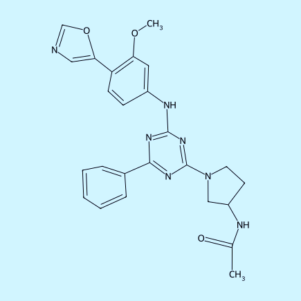 COc1cc(Nc2nc(-c3ccccc3)nc(N3CCC(NC(C)=O)C3)n2)ccc1-c1cnco1